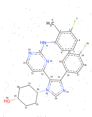 Cc1c(F)cccc1Nc1nccc(-c2c(-c3ccc(F)cc3)ncn2[C@H]2CC[C@@H](O)CC2)n1